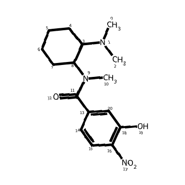 CN(C)C1CCCCC1N(C)C(=O)c1ccc([N+](=O)[O-])c(O)c1